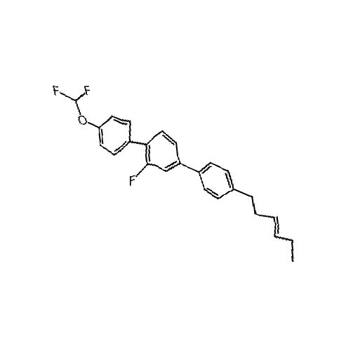 CCC=CCCc1ccc(-c2ccc(-c3ccc(OC(F)F)cc3)c(F)c2)cc1